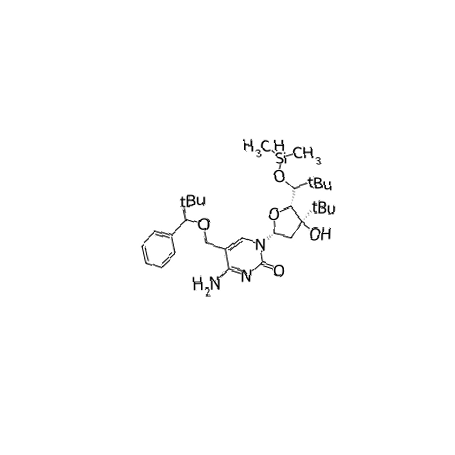 C[SiH](C)OC([C@H]1O[C@@H](n2cc(COC(c3ccccc3)C(C)(C)C)c(N)nc2=O)C[C@@]1(O)C(C)(C)C)C(C)(C)C